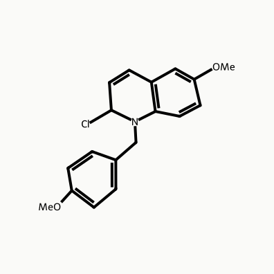 COc1ccc(CN2c3ccc(OC)cc3C=CC2Cl)cc1